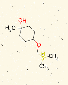 C[SH](C)COC1CCC(C)(O)CC1